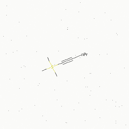 CCCC#CS(C)(C)C